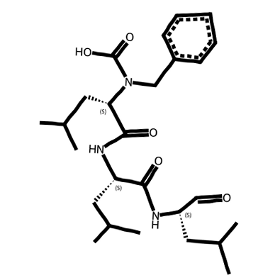 CC(C)C[C@@H](C=O)NC(=O)[C@H](CC(C)C)NC(=O)[C@H](CC(C)C)N(Cc1ccccc1)C(=O)O